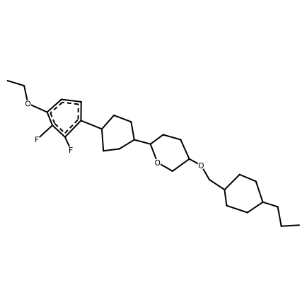 CCCC1CCC(COC2CCC(C3CCC(c4ccc(OCC)c(F)c4F)CC3)OC2)CC1